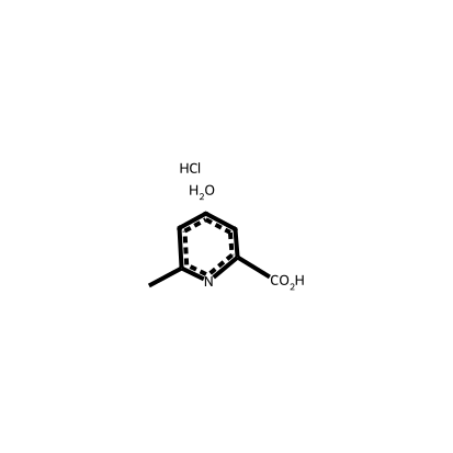 Cc1cccc(C(=O)O)n1.Cl.O